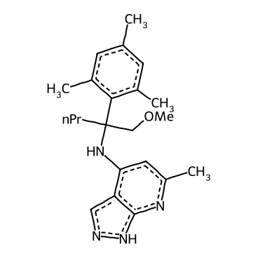 CCCC(COC)(Nc1cc(C)nc2[nH]ncc12)c1c(C)cc(C)cc1C